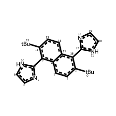 CC(C)(C)c1ccc2c(-c3ncc[nH]3)c(C(C)(C)C)ccc2c1-c1ncc[nH]1